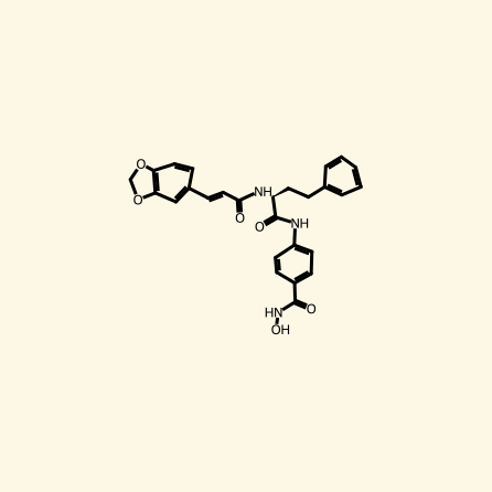 O=C(/C=C/c1ccc2c(c1)OCO2)N[C@@H](CCc1ccccc1)C(=O)Nc1ccc(C(=O)NO)cc1